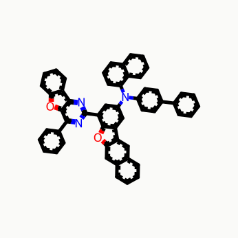 c1ccc(-c2ccc(N(c3cc(-c4nc(-c5ccccc5)c5oc6ccccc6c5n4)c4oc5cc6ccccc6cc5c4c3)c3cccc4ccccc34)cc2)cc1